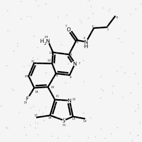 CCCNC(=O)c1ncc2c(-c3nc(C)sc3C)c(F)ccc2c1N